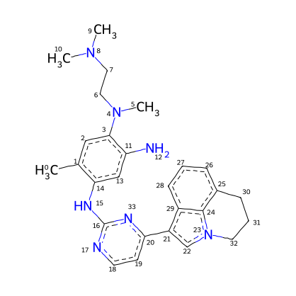 Cc1cc(N(C)CCN(C)C)c(N)cc1Nc1nccc(-c2cn3c4c(cccc24)CCC3)n1